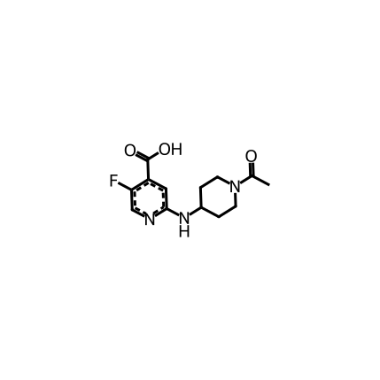 CC(=O)N1CCC(Nc2cc(C(=O)O)c(F)cn2)CC1